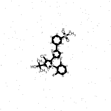 CC(C)(O)c1nn(-c2c(F)cccc2F)c(-c2ccc(-c3cccc(S(C)(=O)=O)c3)s2)c1Cl